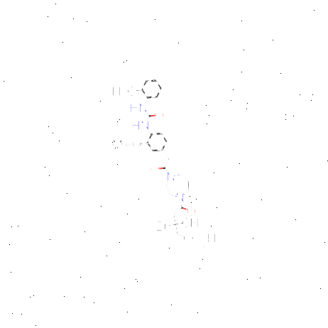 CCC(C)(CC(=O)O)CC(=O)N1CCCN(C(=O)Cc2ccc(NC(=O)Nc3ccccc3C)c(OC)c2)CC1